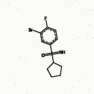 N=S(=O)(c1ccc(F)c(Br)c1)C1CCCC1